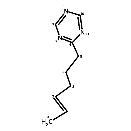 CC=CCCCc1ncncn1